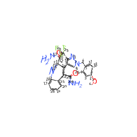 COc1ccc(Cn2cc(-c3c(C(N)=O)nc4ccccc4c3C(N)=O)c(C(F)(F)F)n2)cc1